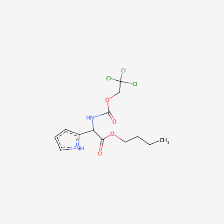 CCCCOC(=O)C(NC(=O)OCC(Cl)(Cl)Cl)c1ccc[nH]1